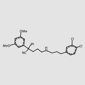 COc1cc(OC)cc(C(C#N)(CCCNCCCc2ccc(Cl)c(Cl)c2)C(C)C)c1